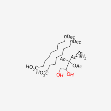 CC(=O)OC(C(C)=O)(C(C)=O)C(O)CO.CCCCCCCCCCCCCCCCCC(=O)O.CCCCCCCCCCCCCCCCCC(=O)O.[CaH2].[Zn]